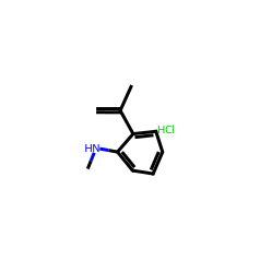 C=C(C)c1ccccc1NC.Cl